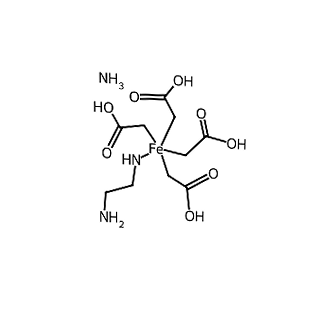 N.NCC[NH][Fe]([CH2]C(=O)O)([CH2]C(=O)O)([CH2]C(=O)O)[CH2]C(=O)O